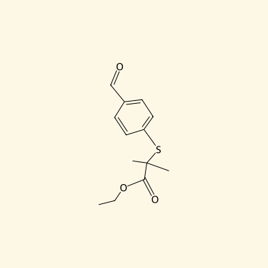 CCOC(=O)C(C)(C)Sc1ccc(C=O)cc1